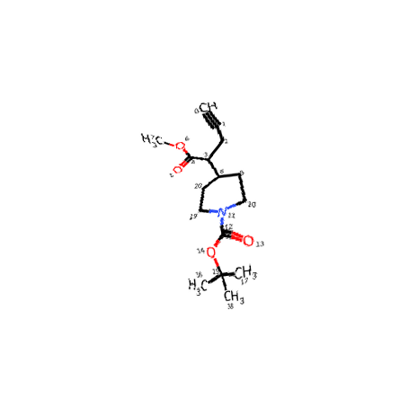 C#CCC(C(=O)OC)C1CCN(C(=O)OC(C)(C)C)CC1